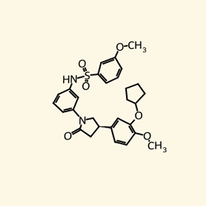 COc1cccc(S(=O)(=O)Nc2cccc(N3C[C@@H](c4ccc(OC)c(OC5CCCC5)c4)CC3=O)c2)c1